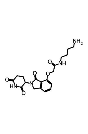 NCCCCNC(=O)COc1cccc2c1C(=O)N(C1CCC(=O)NC1=O)C2